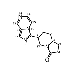 O=C1CCC2CCC(c3ncc4cnccn34)CN12